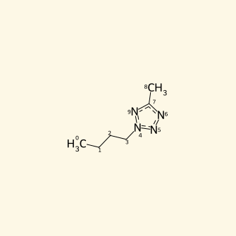 CCCCn1nnc(C)n1